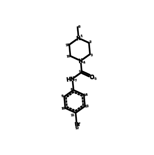 CN1CCN(C(=O)Nc2ccc(Br)cc2)CC1